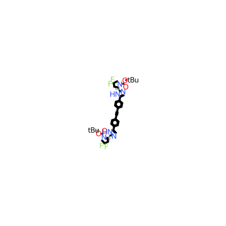 CC(C)(C)OC(=O)N1CC(F)(F)C[C@H]1c1ncc(-c2ccc(C#Cc3ccc(-c4cnc([C@@H]5CC(F)(F)CN5C(=O)OC(C)(C)C)[nH]4)cc3)cc2)[nH]1